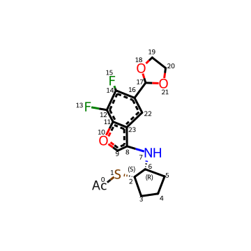 CC(=O)S[C@H]1CCC[C@H]1Nc1coc2c(F)c(F)c(C3OCCO3)cc12